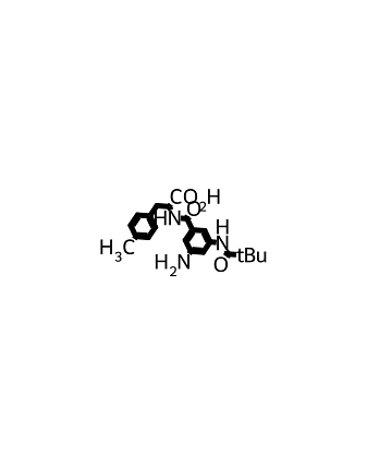 Cc1ccc(CC(NC(=O)c2cc(N)cc(NC(=O)C(C)(C)C)c2)C(=O)O)cc1